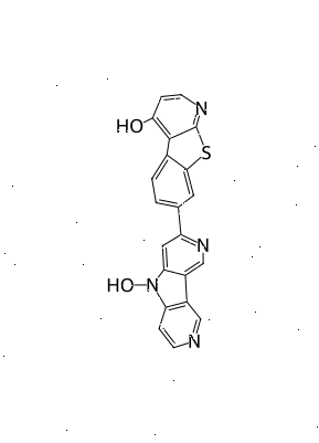 Oc1ccnc2sc3cc(-c4cc5c(cn4)c4cnccc4n5O)ccc3c12